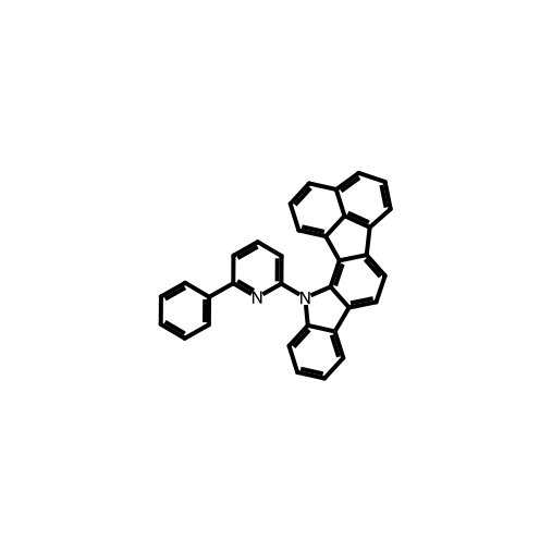 c1ccc(-c2cccc(-n3c4ccccc4c4ccc5c(c43)-c3cccc4cccc-5c34)n2)cc1